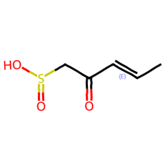 C/C=C/C(=O)CS(=O)O